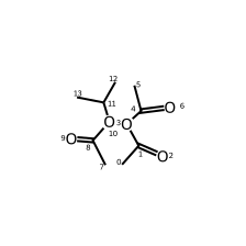 CC(=O)OC(C)=O.CC(=O)OC(C)C